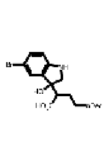 CCCCCCCCCCCCC(C(=O)O)C1(O)CNc2ccc(Br)cc21